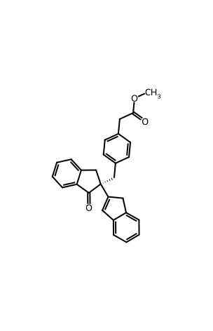 COC(=O)Cc1ccc(C[C@@]2(C3=Cc4ccccc4C3)Cc3ccccc3C2=O)cc1